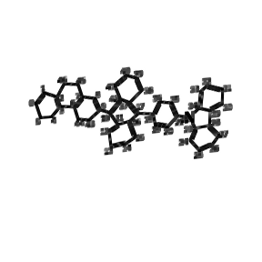 C1=CC2=C(CC1)C1=C(C=C(c3c4ccccc4c(-c4ccc(-n5c6ccccc6c6ccccc65)cc4)c4ccccc34)CC1)CC2